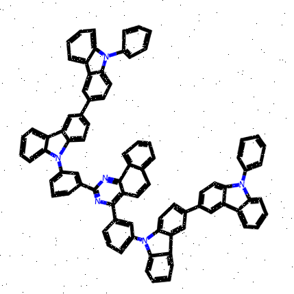 c1ccc(-n2c3ccccc3c3cc(-c4ccc5c(c4)c4ccccc4n5-c4cccc(-c5nc(-c6cccc(-n7c8ccccc8c8cc(-c9ccc%10c(c9)c9ccccc9n%10-c9ccccc9)ccc87)c6)c6ccc7ccccc7c6n5)c4)ccc32)cc1